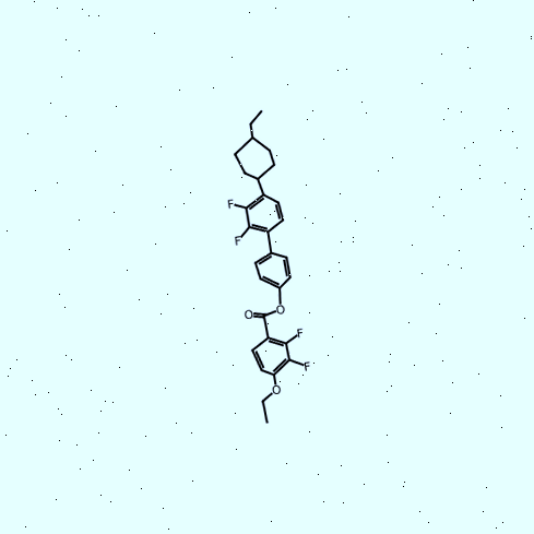 CCOc1ccc(C(=O)Oc2ccc(-c3ccc(C4CCC(CC)CC4)c(F)c3F)cc2)c(F)c1F